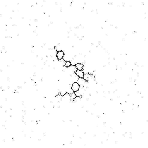 COCCO[C@]1(C(=O)O)CC[C@H](c2nc3c(-c4cnn(-c5ccc(F)cc5)c4)cnn3c(N)c2Br)CC1